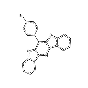 Brc1ccc(-c2c3oc4ccccc4c3nc3c2oc2ccccc23)cc1